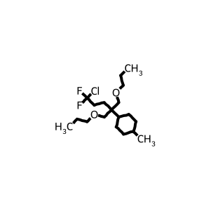 CCCOCC(CCC(F)(F)Cl)(COCCC)C1CCC(C)CC1